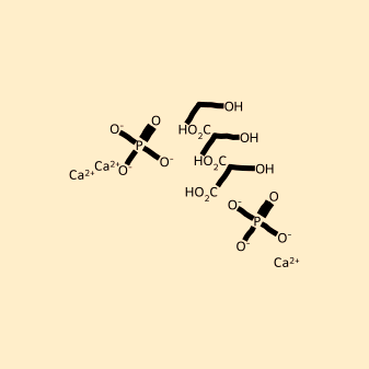 O=C(O)CO.O=C(O)CO.O=C(O)CO.O=P([O-])([O-])[O-].O=P([O-])([O-])[O-].[Ca+2].[Ca+2].[Ca+2]